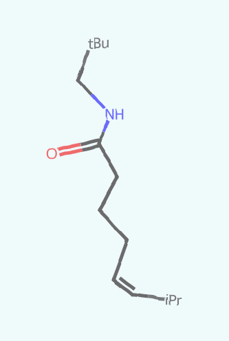 CC(C)/C=C\CCCC(=O)NCC(C)(C)C